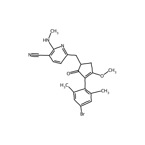 CNc1nc(CC2CC(OC)=C(c3c(C)cc(Br)cc3C)C2=O)ccc1C#N